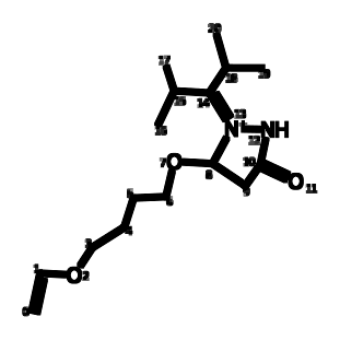 C=COCCCCOC1CC(=O)N[N+]1=C(C(C)C)C(C)C